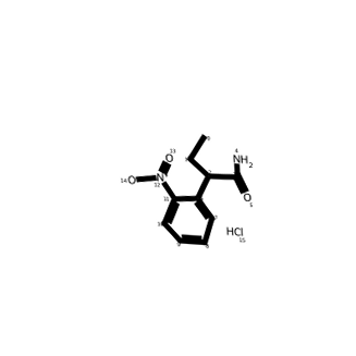 CCC(C(N)=O)c1ccccc1[N+](=O)[O-].Cl